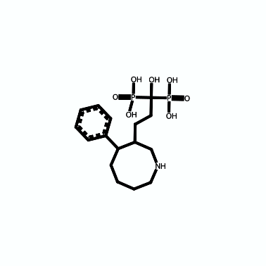 O=P(O)(O)C(O)(CCC1CNCCCCC1c1ccccc1)P(=O)(O)O